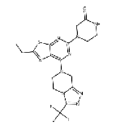 CCc1nc2c(N3CCn4c(nnc4C(F)(F)F)C3)nc(N3CCNC(=O)C3)nc2s1